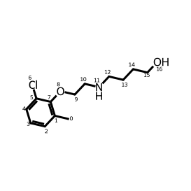 Cc1cccc(Cl)c1OCCNCCCCO